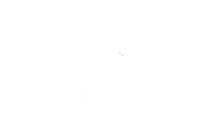 Fc1ccc2c(C3(c4ccc(I)cc4)CCC3)c[nH]c2c1